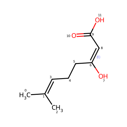 CC(C)=CCC/C(O)=C\C(=O)O